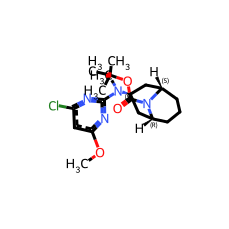 COc1cc(Cl)nc(N(C)[C@@H]2C[C@H]3CCC[C@@H](C2)N3C(=O)OC(C)(C)C)n1